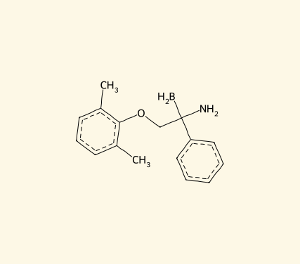 BC(N)(COc1c(C)cccc1C)c1ccccc1